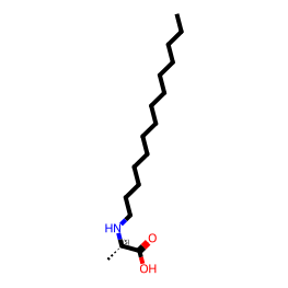 CCCCCCCCCCCCCCN[C@@H](C)C(=O)O